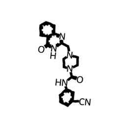 N#Cc1cccc(NC(=O)N2CCN(Cc3nc4ccccc4c(=O)[nH]3)CC2)c1